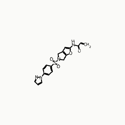 C=CC(=O)Nc1cc2c(o1)CN(S(=O)(=O)c1ccc(-n3cccn3)cc1)C2